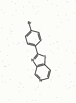 Brc1ccc(-c2nc3cnccc3s2)cc1